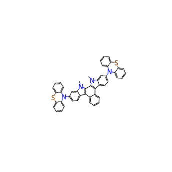 Cn1c2cc(N3c4ccccc4Sc4ccccc43)ccc2c2c3ccccc3c3c4ccc(N5c6ccccc6Sc6ccccc65)cc4n(C)c3c21